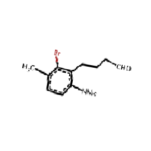 CNc1ccc(C)c(Br)c1CCCC=O